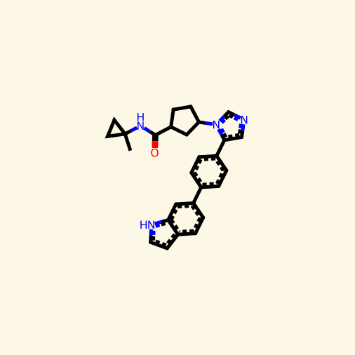 CC1(NC(=O)C2CCC(n3cncc3-c3ccc(-c4ccc5cc[nH]c5c4)cc3)C2)CC1